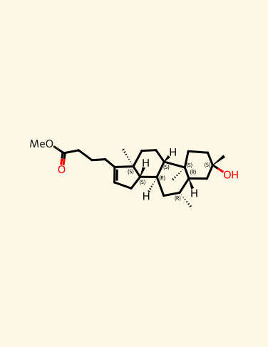 COC(=O)CCCC1=CC[C@H]2[C@@H]3C[C@@H](C)[C@H]4C[C@@](C)(O)CC[C@]4(C)[C@H]3CC[C@]12C